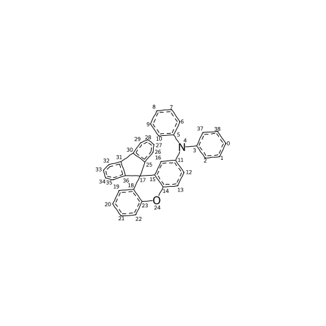 c1ccc(N(c2ccccc2)c2ccc3c(c2)C2(c4ccccc4O3)c3ccccc3-c3ccccc32)cc1